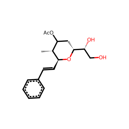 CC(=O)OC1C[C@H]([C@H](O)CO)O[C@@H](/C=C/c2ccccc2)[C@@H]1C